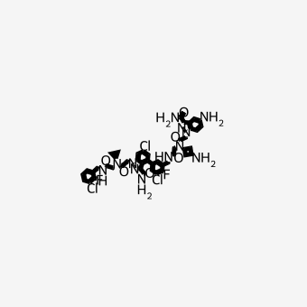 NC(=O)c1nn(CC(=O)N(CC(=O)NCc2cc(-c3cc(Cl)cc4c3c(C(N)=O)nn4CC(=O)N(CC(=O)NCc3cccc(Cl)c3F)C3CC3)cc(Cl)c2F)[C@H]2C[C@H](N)C2)c2ccc(N)cc12